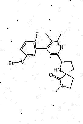 CCOc1ccc(F)c(-c2cc([C@H]3CC[C@@]4(CCN(C)C4=O)N3)nc(C)c2C)c1